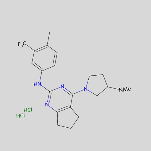 CNC1CCN(c2nc(Nc3ccc(C)c(C(F)(F)F)c3)nc3c2CCC3)C1.Cl.Cl